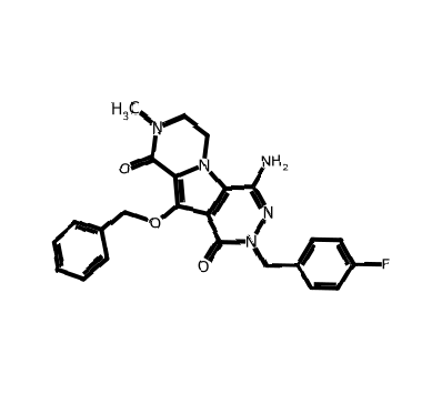 CN1CCn2c(c(OCc3ccccc3)c3c(=O)n(Cc4ccc(F)cc4)nc(N)c32)C1=O